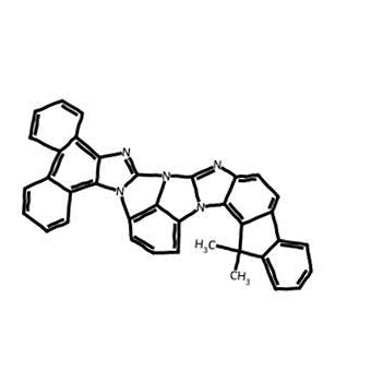 CC1(C)c2ccccc2-c2ccc3nc4n(c5cccc6c5n4c4nc5c7ccccc7c7ccccc7c5n64)c3c21